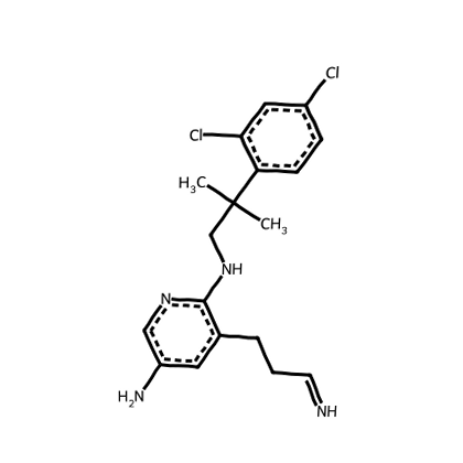 CC(C)(CNc1ncc(N)cc1CCC=N)c1ccc(Cl)cc1Cl